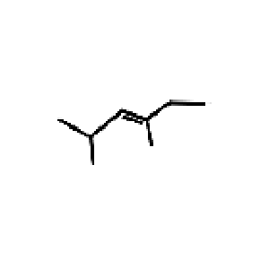 [CH2]C/C(C)=C/C(C)C